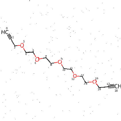 C#CCOCCOCCOCCOCCOCC#C